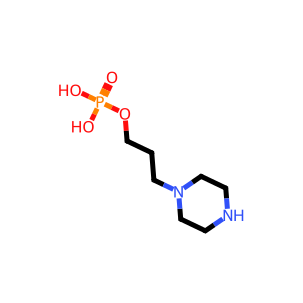 O=P(O)(O)OCCCN1CCNCC1